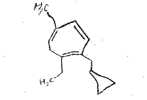 [CH2]c1cc(C)ccc1C1CC1